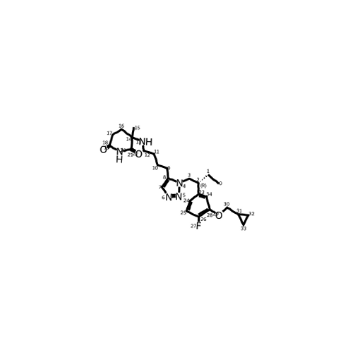 CC[C@@H](Cn1nncc1CCCCNC1(C)CCC(=O)NC1=O)c1ccc(F)c(OCC2CC2)c1